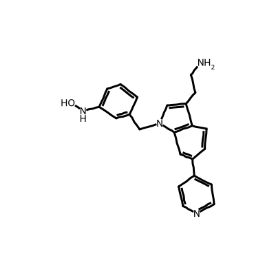 NCCc1cn(Cc2cccc(NO)c2)c2cc(-c3ccncc3)ccc12